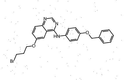 BrCCCOc1ccc2ncnc(Nc3ccc(OCc4ccccc4)cc3)c2c1